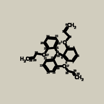 C=CCOc1ccccc1P(c1ccccc1OCC=C)c1ccccc1OCC=C